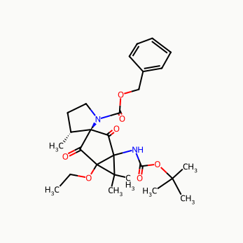 CCOC12C(=O)[C@@]3(C(=O)C1(NC(=O)OC(C)(C)C)C2(C)C)[C@H](C)CCN3C(=O)OCc1ccccc1